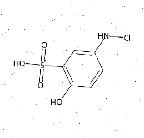 O=S(=O)(O)c1cc(NCl)ccc1O